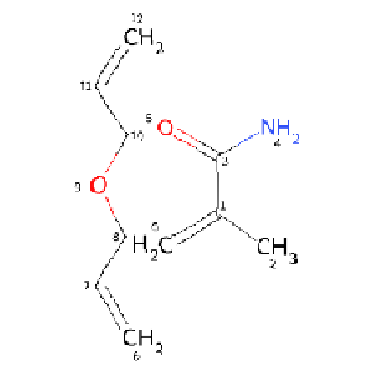 C=C(C)C(N)=O.C=CCOCC=C